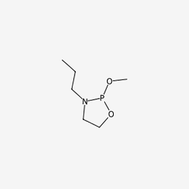 CCCN1CCOP1OC